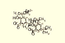 CC(C)c1cc(C(=O)[O-])c(O)c(C(C)C)c1.CC(C)c1cc(C(=O)[O-])c(O)c(C(C)C)c1.[Fe+2]